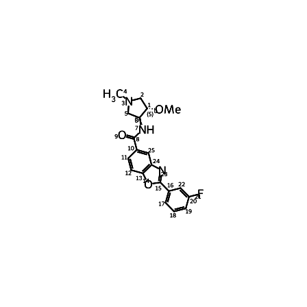 CO[C@H]1CN(C)C[C@@H]1NC(=O)c1ccc2oc(-c3cccc(F)c3)nc2c1